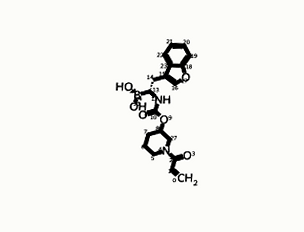 C=CC(=O)N1CCCC(OC(=O)N[C@@H](Cc2coc3ccccc23)B(O)O)C1